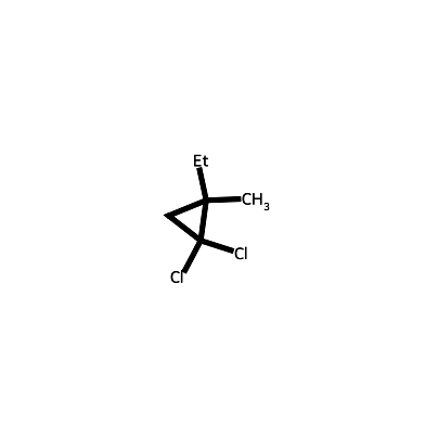 [CH2]CC1(C)CC1(Cl)Cl